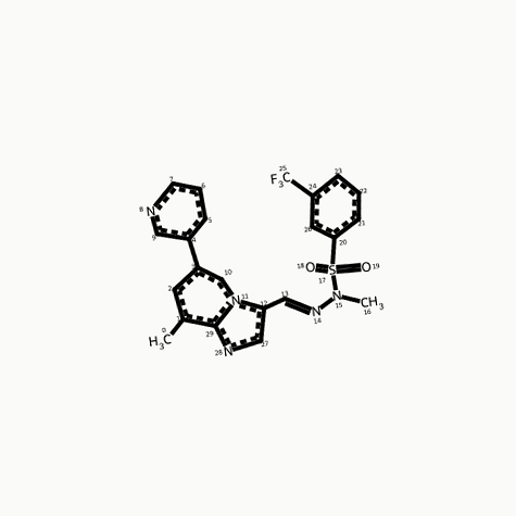 Cc1cc(-c2cccnc2)cn2c(C=NN(C)S(=O)(=O)c3cccc(C(F)(F)F)c3)cnc12